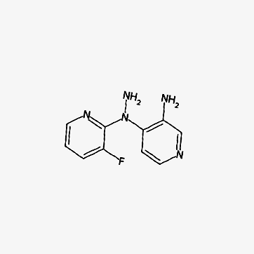 Nc1cnccc1N(N)c1ncccc1F